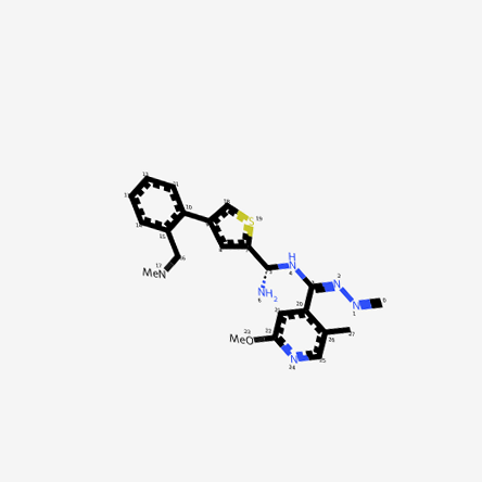 C=N/N=C(/N[C@H](N)c1cc(-c2ccccc2CNC)cs1)c1cc(OC)ncc1C